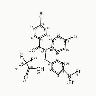 CCN(CC)c1ccc(CN(C(=O)c2ccc(Cl)cc2)c2ccc(F)cc2)cn1.O=C(O)C(F)(F)F